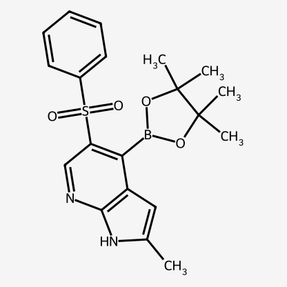 Cc1cc2c(B3OC(C)(C)C(C)(C)O3)c(S(=O)(=O)c3ccccc3)cnc2[nH]1